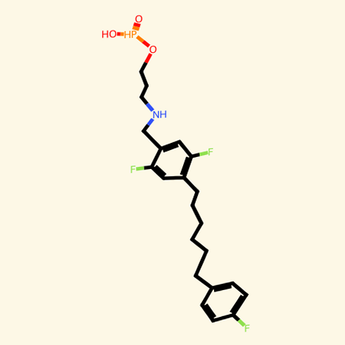 O=[PH](O)OCCCNCc1cc(F)c(CCCCCCc2ccc(F)cc2)cc1F